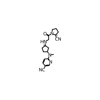 CN(c1ccc(C#N)cn1)C1CC[C@@H](NCC(=O)N2CCC[C@H]2C#N)C1